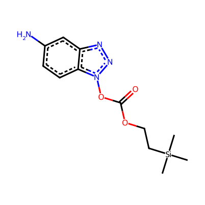 C[Si](C)(C)CCOC(=O)On1nnc2cc(N)ccc21